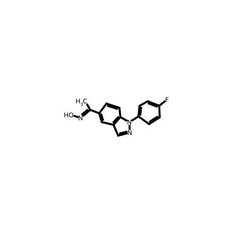 CC(=NO)c1ccc2c(cnn2-c2ccc(F)cc2)c1